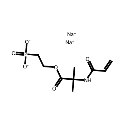 C=CC(=O)NC(C)(C)C(=O)OCCP(=O)([O-])[O-].[Na+].[Na+]